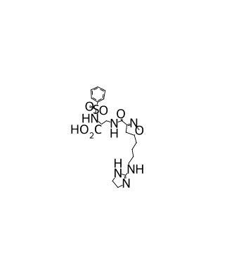 O=C(NCC(NS(=O)(=O)c1ccccc1)C(=O)O)C1=NOC(CCCCNC2=NCCN2)C1